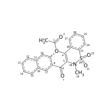 CC(=O)OC1=C(C(=O)c2ccc3ccccc3c2)N(C)S(=O)(=O)c2ccccc21